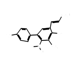 CCN(CC)c1c(-c2ccc([N+](=O)[O-])cc2)cc(C=CC(=O)O)c(O)c1C